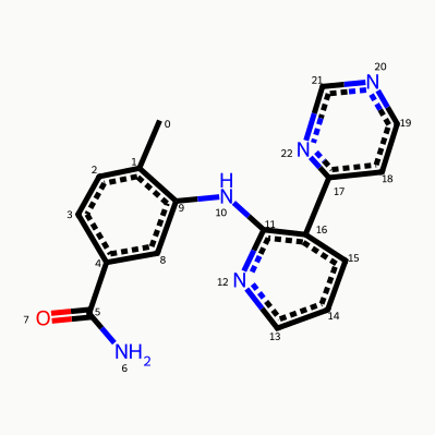 Cc1ccc(C(N)=O)cc1Nc1ncccc1-c1ccncn1